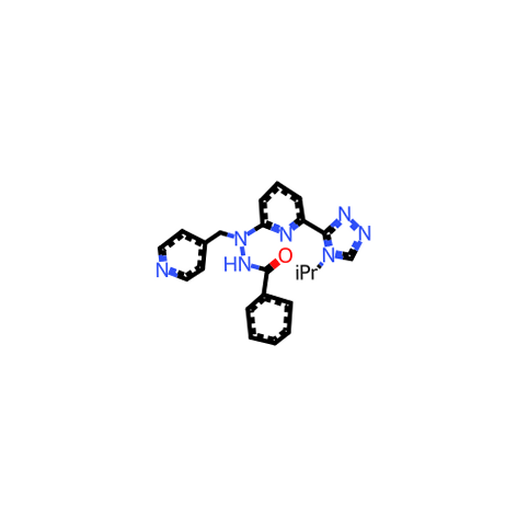 CC(C)n1cnnc1-c1cccc(N(Cc2ccncc2)NC(=O)c2ccccc2)n1